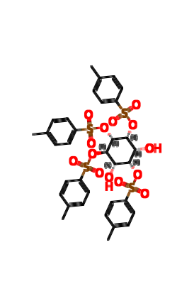 Cc1ccc(S(=O)(=O)O[C@H]2[C@@H](O)[C@@H](OS(=O)(=O)c3ccc(C)cc3)[C@@H](OS(=O)(=O)c3ccc(C)cc3)[C@H](OS(=O)(=O)c3ccc(C)cc3)[C@H]2O)cc1